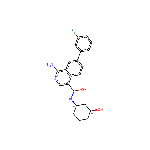 Nc1ncc(C(O)N[C@@H]2CCC[C@H](O)C2)c2ccc(-c3cccc(F)c3)cc12